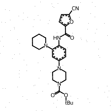 CC(C)(C)OC(=O)N1CCN(c2ccc(NC(=O)c3ccc(C#N)o3)c(N3CCCCC3)c2)CC1